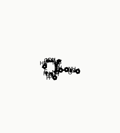 O=C1C[C@@H](O)C(=O)Nc2ccc(cc2)C[C@@H](C(=O)O)NC(=O)[C@@H](Cc2ccccc2)NC(=O)[C@H](Cc2ccc(-c3ccc(NC(=O)OCc4ccccc4)cc3)cc2)NC(=O)[C@@H](Cc2cccs2)N1